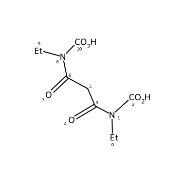 CCN(C(=O)O)C(=O)CC(=O)N(CC)C(=O)O